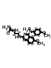 COc1ccc(N(C)c2nc(NCCNC(N)=O)nc3ccc(OC)cc23)cc1